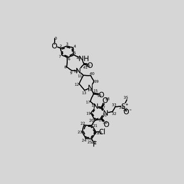 COc1ccc2c(c1)CCN(C1CCN(C(=O)Cn3cc(-c4cccc(F)c4Cl)c(=O)n(CC[S+](C)[O-])c3=O)CC1)C(=O)N2